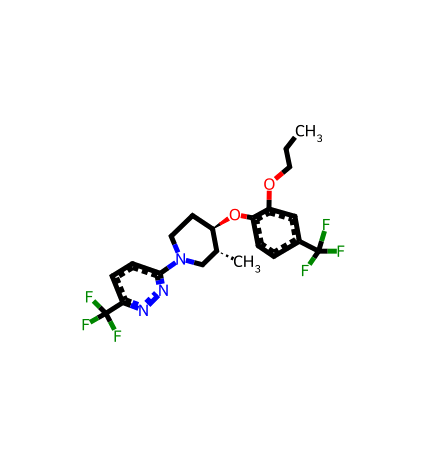 CCCOc1cc(C(F)(F)F)ccc1O[C@@H]1CCN(c2ccc(C(F)(F)F)nn2)C[C@H]1C